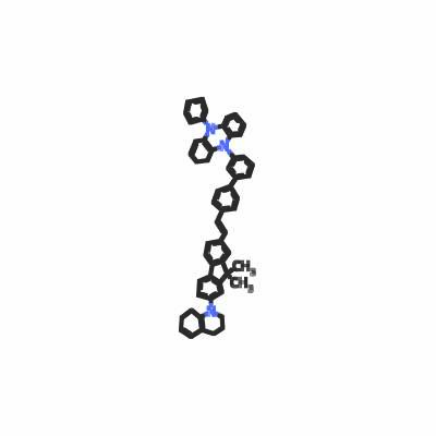 CC1(C)c2cc(/C=C/c3ccc(-c4cccc(N5C6=C(C=CCC6)N(c6ccccc6)c6ccccc65)c4)cc3)ccc2-c2ccc(N3CCCC4=C3CCC=C4)cc21